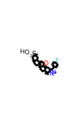 Cn1nc2c(c1-c1ccc(F)cc1)CC1(C)C(CCC3(C)C1C(=O)C=C1C4CC(C)(C(=O)O)CCC4(C)CCC13C)C2(C)C